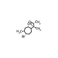 C[C@H]1C[C@H](C)[C@@H](Br)CCC1[C@H](C)[C@@H](C)Cl